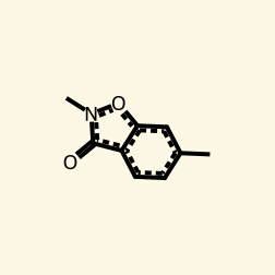 Cc1ccc2c(=O)n(C)oc2c1